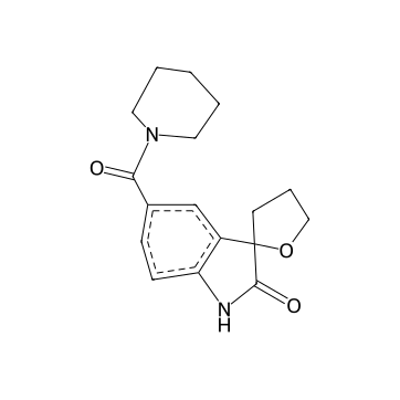 O=C(c1ccc2c(c1)C1(CCCO1)C(=O)N2)N1CCCCC1